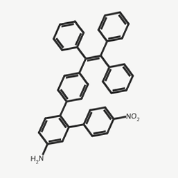 Nc1ccc(-c2ccc(C(=C(c3ccccc3)c3ccccc3)c3ccccc3)cc2)c(-c2ccc([N+](=O)[O-])cc2)c1